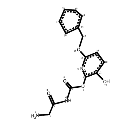 NCC(=O)NC(=O)Oc1nc(OCc2ccccc2)ccc1O